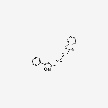 c1ccc(-c2cc(CSSSCc3nc4ccccc4s3)no2)cc1